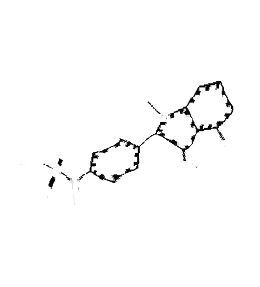 CCn1c(-c2ccc(NS(=O)(=O)CC)cc2)c(C#N)c2c(Cl)cccc21